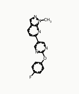 Cn1ncc2ccc(-c3cnc(Oc4ccc(F)cc4)nc3)nc21